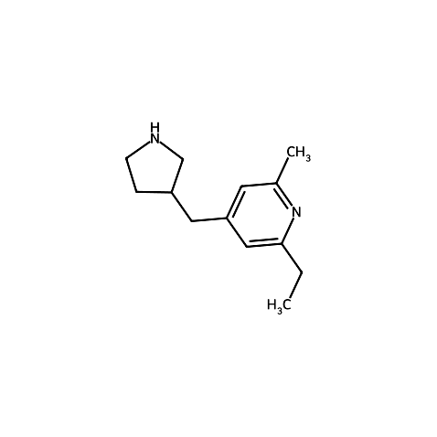 CCc1cc(CC2CCNC2)cc(C)n1